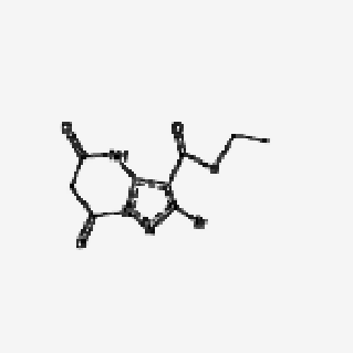 CCOC(=O)c1c(Br)nn2c1NC(=O)CC2=O